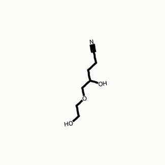 N#CCCC(O)COCCO